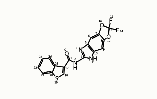 O=C(Nc1nc2cc3c(cc2[nH]1)OC(F)(F)O3)c1csc2ccccc12